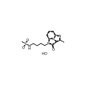 Cc1nc2cccc3n(CCCCNS(C)(=O)=O)c(=O)c1n23.Cl